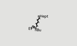 CCCCCCCCCCCCN(CCCC)OCC